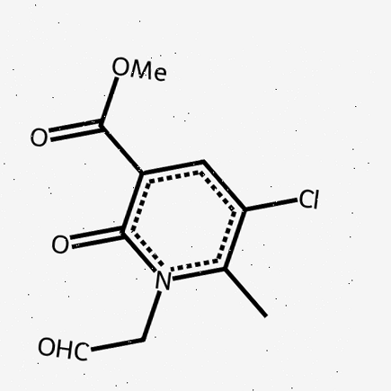 COC(=O)c1cc(Cl)c(C)n(CC=O)c1=O